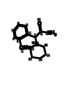 COc1ccccc1C(C(N)=O)N1CCCCC1